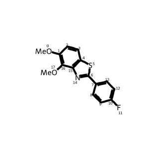 COc1ccc2sc(-c3ccc(F)cc3)nc2c1OC